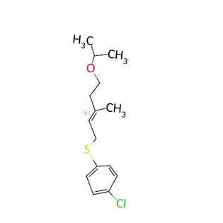 C/C(=C\CSc1ccc(Cl)cc1)CCOC(C)C